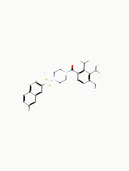 CC(C)c1c(CN)ccc(C(=O)N2CCN(S(=O)(=O)c3ccc4ccc(Cl)cc4c3)CC2)c1C(C)C